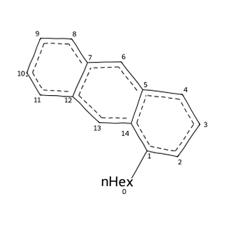 CCCCCCc1cccc2cc3cc[c]cc3cc12